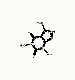 CCCCn1c(=O)n(C)c(=O)c2c(NC)[nH]nc21